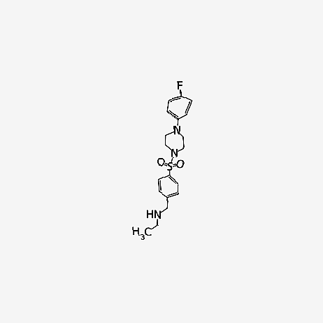 CCNCc1ccc(S(=O)(=O)N2CCN(c3ccc(F)cc3)CC2)cc1